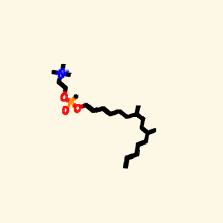 CCCCCC(C)CCC(C)CCCCCCOP(C)(=O)OCC[N+](C)(C)C